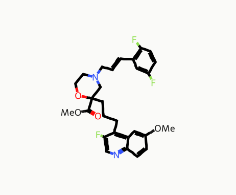 COC(=O)C1(CCCc2c(F)cnc3ccc(OC)cc23)CN(C/C=C/c2cc(F)ccc2F)CCO1